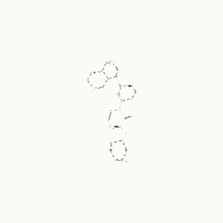 O=C1C(Cc2cccnc2)=NC=CC1c1cccc(-c2cncc3ccccc23)c1